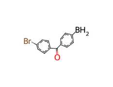 Bc1ccc(C(=O)c2ccc(Br)cc2)cc1